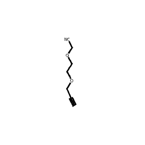 C#CCOCCOCC#N